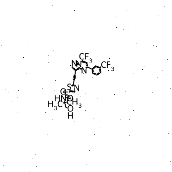 CC(C)(CO)NS(=O)(=O)c1cnc(C#Cc2cnn3c(C(F)(F)F)cc(-c4cccc(C(F)(F)F)c4)nc23)s1